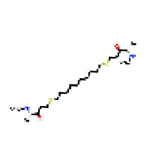 CC[C@H](C)[C@H](NC=O)C(=O)CCSCCCCCCCCCCSCCC(=O)[C@@H](NC=O)[C@@H](C)CC